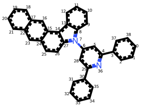 c1ccc(-c2cc(-n3c4ccccc4c4c5cc6ccccc6cc5ccc43)cc(-c3ccccc3)n2)cc1